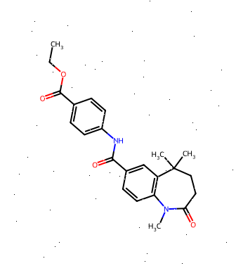 CCOC(=O)c1ccc(NC(=O)c2ccc3c(c2)C(C)(C)CCC(=O)N3C)cc1